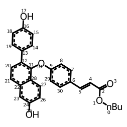 CCCCOC(=O)C=Cc1ccc(Oc2c(-c3ccc(O)cc3)ccc3cc(O)ccc23)cc1